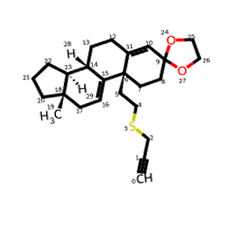 C#CCSCC[C@]12CCC3(C=C1CC[C@@H]1C2=CC[C@]2(C)CCC[C@@H]12)OCCO3